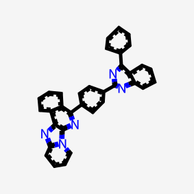 c1ccc(-c2nc(-c3ccc(-c4nc5c(nc6ccccn65)c5ccccc45)cc3)nc3ccccc23)cc1